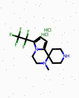 CN1CCn2c(ccc2C(F)(F)C(F)(F)F)C12CCNCC2.Cl.Cl